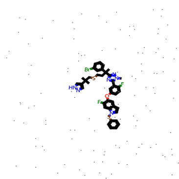 Cn1nc(C(C)(CCSCC(C)(C)c2cn[nH]c2)c2cccc(Br)c2)nc1-c1cc(Oc2cc3ccn(Sc4ccccc4)c3cc2F)ccc1F